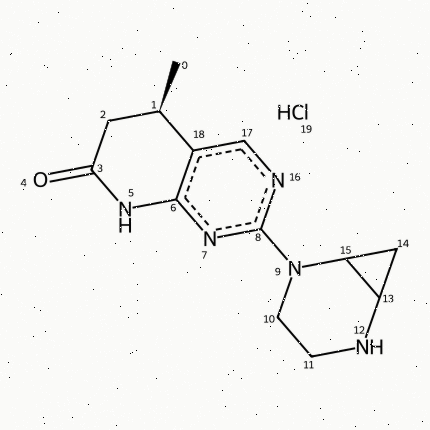 C[C@@H]1CC(=O)Nc2nc(N3CCNC4CC43)ncc21.Cl